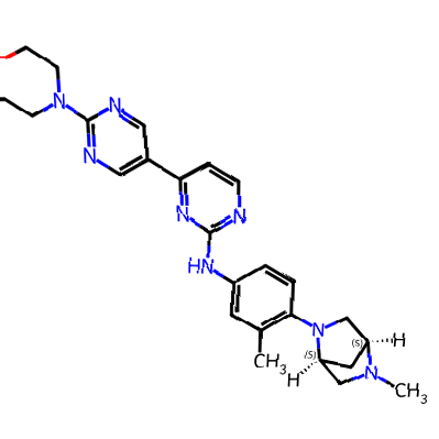 Cc1cc(Nc2nccc(-c3cnc(N4CCOCC4)nc3)n2)ccc1N1C[C@@H]2C[C@H]1CN2C